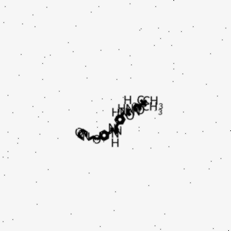 CC(C)(C)c1cc(NC(=O)Nc2ccc(-c3n[nH]c(-c4ccc(OCCN5CCOCC5)cc4)n3)cc2)no1